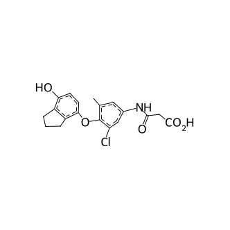 Cc1cc(NC(=O)CC(=O)O)cc(Cl)c1Oc1ccc(O)c2c1CCC2